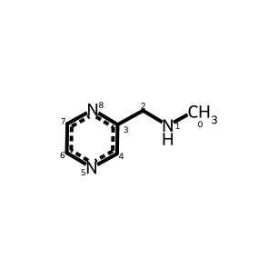 CNCc1cnccn1